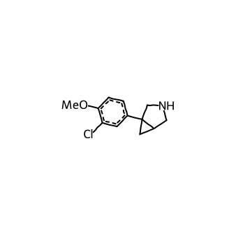 COc1ccc(C23CNCC2C3)cc1Cl